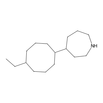 CCC1CCCC(C2CCCNCC2)CCC1